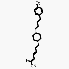 CCc1ccc(CCCC[C@H]2CC[C@H](CC/C=C/C=C(\F)C#N)CC2)cc1